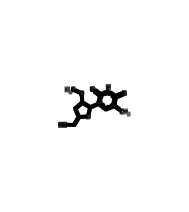 COC1CC(CO)OC1n1cc(C)c(=O)[nH]c1=O